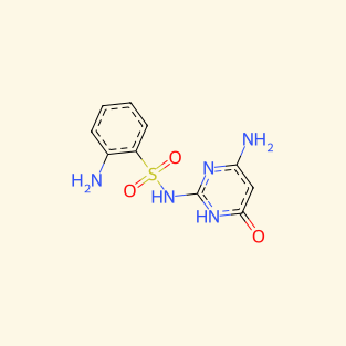 Nc1cc(=O)[nH]c(NS(=O)(=O)c2ccccc2N)n1